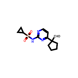 O=CC1(c2ccnc(NS(=O)(=O)C3CC3)n2)CCCC1